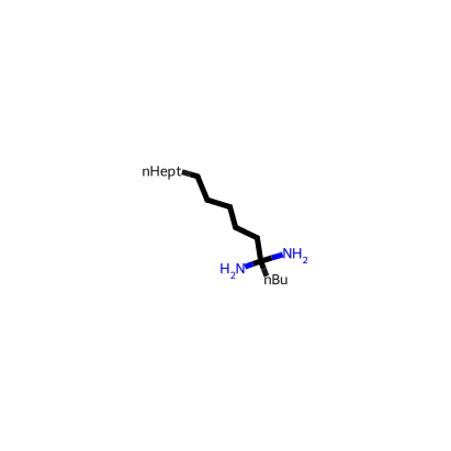 CCCCCCCCCCCCC(N)(N)CCCC